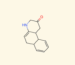 O=C1CNC2=CCC3C=CC=CC3C2C1